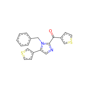 O=C(c1ccsc1)c1ncc(-c2ccsc2)n1Cc1ccccc1